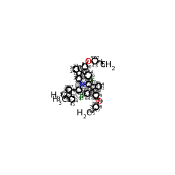 C=CC1=CC=C(Oc2ccc(C3(C4=CCC=C(F)C=C4)c4ccccc4-c4ccc(N(c5cccc(-c6cccc7c6-c6ccccc6C7(C)C)c5)c5ccc6c(c5)C(c5ccc(F)cc5)(c5ccc(Oc7ccc(C=C)cc7)cc5)c5ccccc5-6)cc43)cc2)CC1